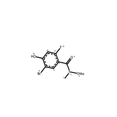 CON(C)C(=O)c1cc(Br)c(O)cc1F